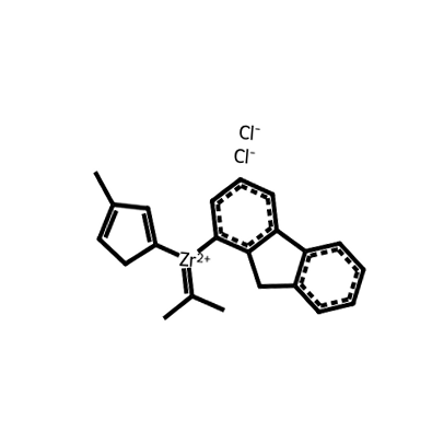 CC1=CC[C]([Zr+2](=[C](C)C)[c]2cccc3c2Cc2ccccc2-3)=C1.[Cl-].[Cl-]